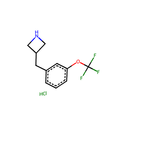 Cl.FC(F)(F)Oc1cccc(CC2CNC2)c1